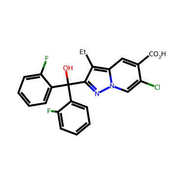 CCc1c(C(O)(c2ccccc2F)c2ccccc2F)nn2cc(Cl)c(C(=O)O)cc12